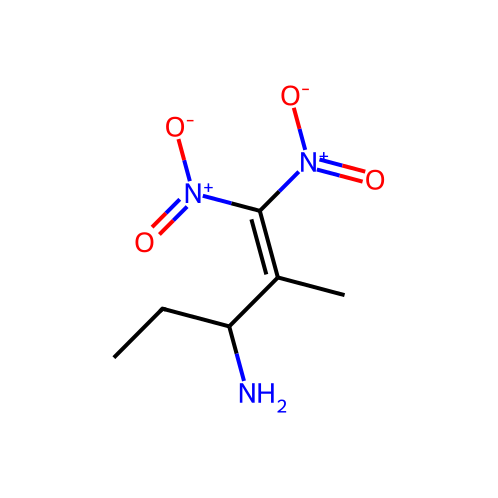 CCC(N)C(C)=C([N+](=O)[O-])[N+](=O)[O-]